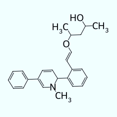 CC(O)CC(C)O/C=C/c1ccccc1C1C=CC(c2ccccc2)=CN1C